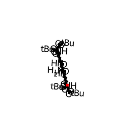 CC(C)(C)OC(=O)CCC(NC(=O)CCCCCNC(=O)CCC(N)C(=O)NCCCCCC(=O)NC(CCC(=O)OC(C)(C)C)C(=O)OC(C)(C)C)C(=O)OC(C)(C)C